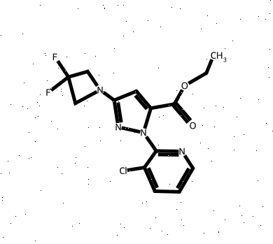 CCOC(=O)c1cc(N2CC(F)(F)C2)nn1-c1ncccc1Cl